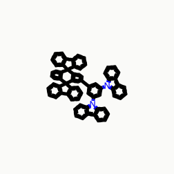 c1ccc2c(c1)-c1ccccc1C21c2ccccc2C2(c3ccccc3-c3ccccc32)c2cc(-c3cc(-n4c5ccccc5c5ccccc54)cc(-n4c5ccccc5c5ccccc54)c3)ccc21